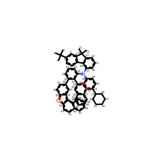 CC(C)(C)c1ccc2c(c1)C(C)(C)c1cccc(N(c3ccc(C4CCCCC4)cc3)c3cccc(-c4ccc5oc6ccc7ccccc7c6c5c4)c3-c3ccc4ccccc4c3)c1-2